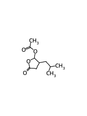 CC(=O)OC1OC(=O)CC1CC(C)C